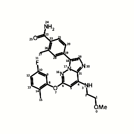 COCCNc1cc(Oc2cc(F)ccc2C)nn2c(-c3ccc(C(N)=O)c(C)c3)cnc12